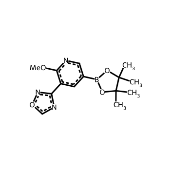 COc1ncc(B2OC(C)(C)C(C)(C)O2)cc1-c1ncon1